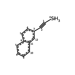 [SiH3]C#Cc1ccc2ccccc2c1